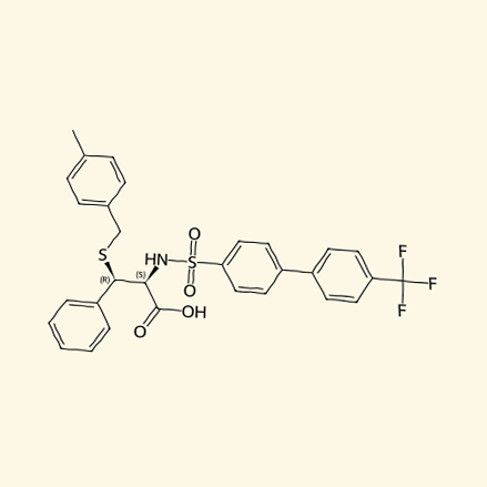 Cc1ccc(CS[C@H](c2ccccc2)[C@@H](NS(=O)(=O)c2ccc(-c3ccc(C(F)(F)F)cc3)cc2)C(=O)O)cc1